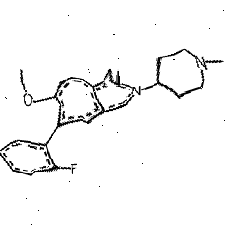 COc1cc2nn(C3CCN(C)CC3)cc2cc1-c1ccccc1F